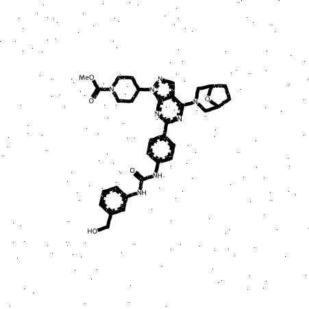 COC(=O)N1CCC(n2ncc3c(N4CC5CCC(C4)O5)nc(-c4ccc(NC(=O)Nc5cccc(CO)c5)cc4)nc32)CC1